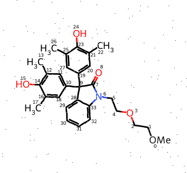 COCCOCCN1C(=O)C(c2cc(C)c(O)c(C)c2)(c2cc(C)c(O)c(C)c2)c2ccccc21